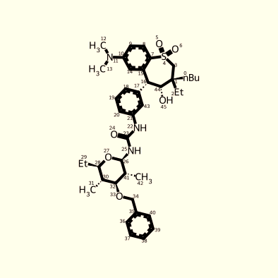 CCCC[C@]1(CC)CS(=O)(=O)c2ccc(N(C)C)cc2[C@@H](c2cccc(NC(=O)N[C@@H]3O[C@H](CC)[C@@H](C)[C@H](OCc4ccccc4)[C@H]3C)c2)[C@H]1O